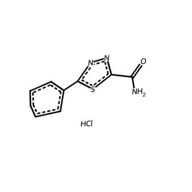 Cl.NC(=O)c1nnc(-c2ccccc2)s1